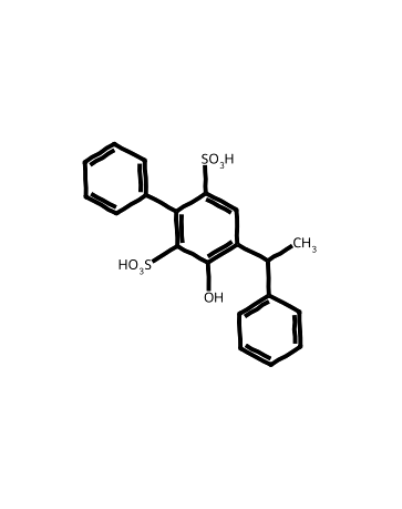 CC(c1ccccc1)c1cc(S(=O)(=O)O)c(-c2ccccc2)c(S(=O)(=O)O)c1O